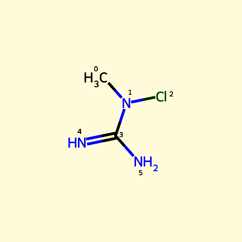 CN(Cl)C(=N)N